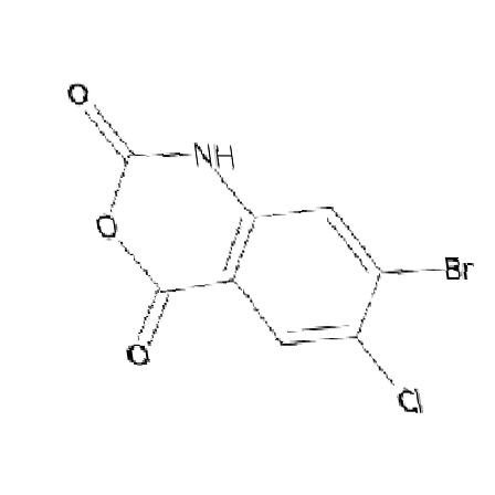 O=c1[nH]c2cc(Br)c(Cl)cc2c(=O)o1